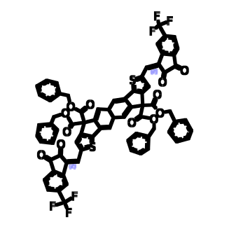 O=C1C(=O)c2ccc(C(F)(F)F)cc2/C1=C/c1cc2c(s1)C1=CC3C=C4C(=CC3C=C1C2(C(=O)OCc1ccccc1)C(=O)OCc1ccccc1)c1sc(/C=C2\C(=O)C(=O)c3ccc(C(F)(F)F)cc32)cc1C4(C(=O)OCc1ccccc1)C(=O)OCc1ccccc1